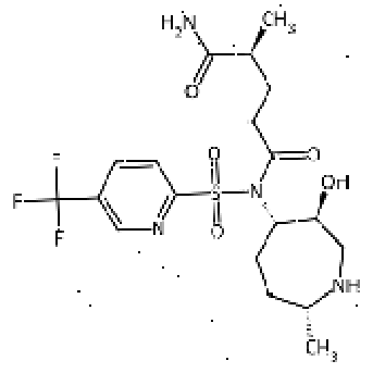 C[C@@H]1CC[C@H](N(C(=O)[CH]C[C@H](C)C(N)=O)S(=O)(=O)c2ccc(C(F)(F)F)cn2)[C@@H](O)CN1